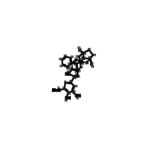 COc1cc(-c2nc3cc(N4[C@@H]5CC[C@H]4CN(C(=O)c4ccccc4)C5)ccc3[nH]2)cc(O)c1O